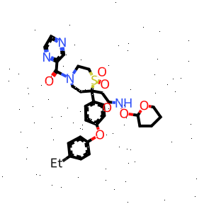 CCc1ccc(Oc2ccc(C3(CC(=O)NOC4CCCCO4)CCN(C(=O)c4cnccn4)CCS3(=O)=O)cc2)cc1